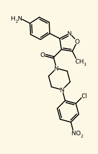 Cc1onc(-c2ccc(N)cc2)c1C(=O)N1CCN(c2ccc([N+](=O)[O-])cc2Cl)CC1